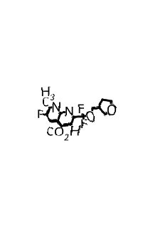 Cc1nc2nc(C(F)(F)OCC3CCOC3)c(C(=O)O)cc2cc1F